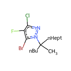 CCCCCCCC(C)(CCCC)n1nc(Cl)c(F)c1Br